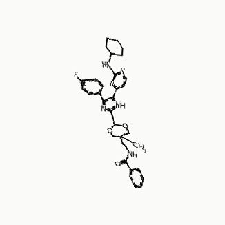 CC1(CNC(=O)c2ccccc2)COC(c2nc(-c3ccc(F)cc3)c(-c3ccnc(NC4CCCCC4)n3)[nH]2)OC1